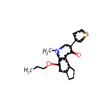 CCCOc1cc2c(c3c(=O)c(-c4ccsc4)cn(C)c13)CCC2